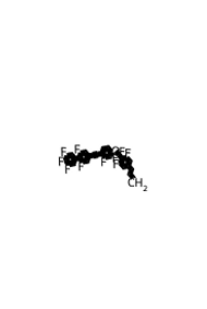 C=CCCc1cc(F)c(C(F)(F)Oc2ccc(C#Cc3cc(F)c(-c4cc(F)c(F)c(F)c4)c(F)c3)c(F)c2)c(F)c1